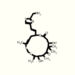 C/C1=C\CC(/C=C/c2csc(CN)n2)OC(=O)CC(O)C(C)(C)C(=O)C(C)C(O)C(C)CCC1